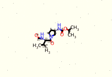 CC(C)OC(=O)N[C@H]1CCN(C(=O)[C@@H](NC=O)C(C)C)C1